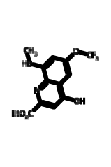 CBc1cc(OC(F)(F)F)cc2c(O)cc(C(=O)OCC)nc12